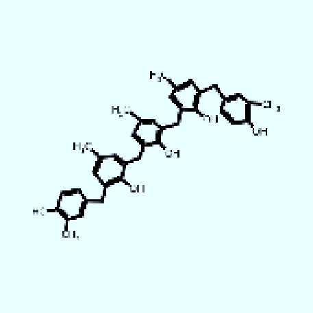 Cc1cc(Cc2ccc(O)c(C)c2)c(O)c(Cc2cc(C)cc(Cc3cc(C)cc(Cc4ccc(O)c(C)c4)c3O)c2O)c1